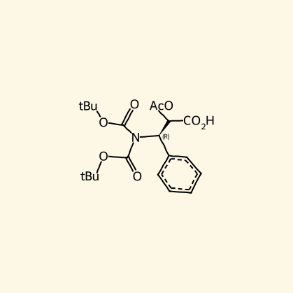 CC(=O)OC(C(=O)O)[C@@H](c1ccccc1)N(C(=O)OC(C)(C)C)C(=O)OC(C)(C)C